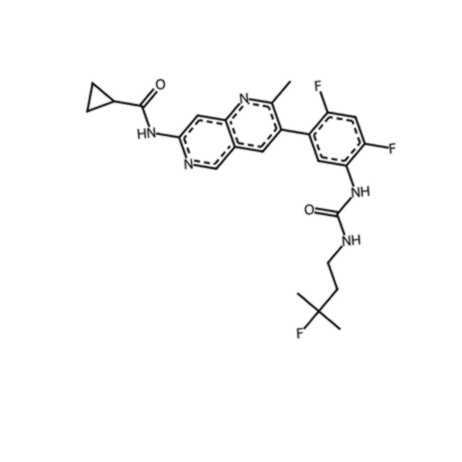 Cc1nc2cc(NC(=O)C3CC3)ncc2cc1-c1cc(NC(=O)NCCC(C)(C)F)c(F)cc1F